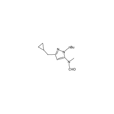 CCCCn1nc(CC2CC2)cc1N(C)C=O